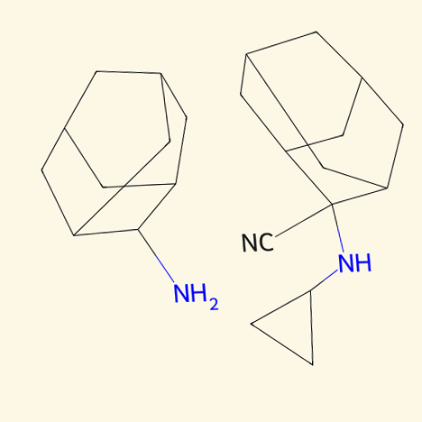 N#CC1(NC2CC2)C2CC3CC(C2)CC1C3.NC1C2CC3CC(C2)CC1C3